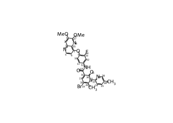 COc1cc2nccc(Oc3ccc(NC(=O)c4cc(Br)c(C)n(-c5ccc(C)cn5)c4=O)cc3F)c2nc1OC